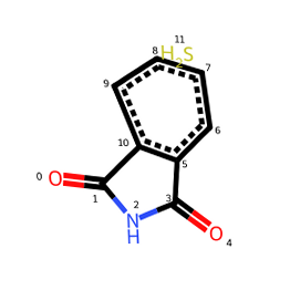 O=C1NC(=O)c2ccccc21.S